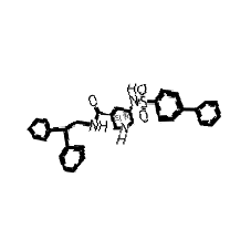 O=C(NCC(c1ccccc1)c1ccccc1)[C@@H]1CNC[C@H](NS(=O)(=O)c2ccc(-c3ccccc3)cc2)C1